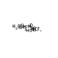 CC1(C)Cc2cccc(CN3CCC4(CC3)CCN(C(=O)c3cc(O)nc(OC(=O)C(F)(F)F)c3)CC4)c2O1